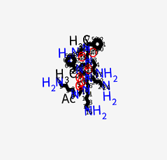 CC(=O)N(CCCCN)CC(=O)N(CCCCN)CC(=O)N(CCCCN)CC(=O)N(CC(=O)N(CCCCN)CC(=O)N(CC(N)=O)[C@@H](C)c1ccccc1)[C@@H](C)c1ccccc1